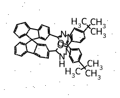 CC(C)(C)c1ccc(C2=NNC(c3ccc4c(c3)C3(c5ccccc5-c5ccc(-c6nnc(-c7ccc(C(C)(C)C)cc7)o6)cc53)c3ccccc3-4)O2)cc1